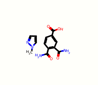 Cn1cccn1.NC(=O)c1ccc(C(=O)O)cc1C(N)=O